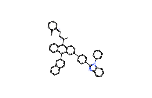 C=c1cccc/c1=C/C=C(\C)c1c2ccccc2c(-c2ccc3ccccc3c2)c2cc(-c3ccc(-c4nc5ccccc5n4-c4ccccc4)cc3)ccc12